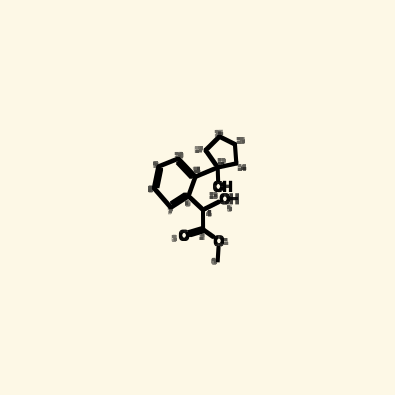 COC(=O)C(O)c1ccccc1C1(O)CCCC1